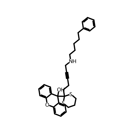 OC1(C2(CCC#CCNCCCCCc3ccccc3)SCCCS2)c2ccccc2Oc2ccccc21